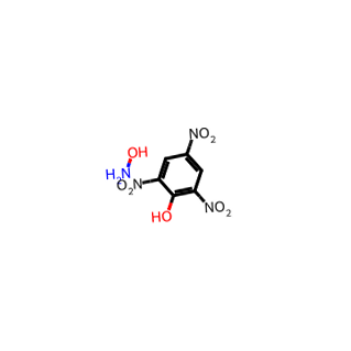 NO.O=[N+]([O-])c1cc([N+](=O)[O-])c(O)c([N+](=O)[O-])c1